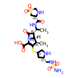 CC(NC(=O)[C@@H]1CS(=O)(=O)CN1)[C@H]1C(=O)N2C(C(=O)O)=C(S[C@@H]3CN[C@H](CNS(N)(=O)=O)C3)[C@H](C)[C@H]12